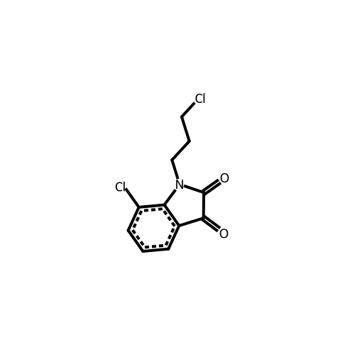 O=C1C(=O)N(CCCCl)c2c(Cl)cccc21